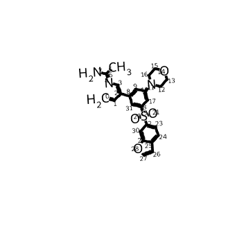 C=C/C(=C\N=C(/C)N)c1cc(N2CCOCC2)cc(S(=O)(=O)c2ccc3ccoc3c2)c1